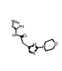 CN/N=C(\S)NC(=O)Cc1csc(N2CCOCC2)n1